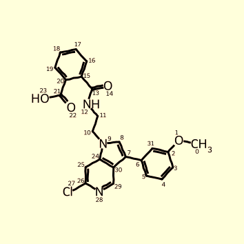 COc1cccc(-c2cn(CCNC(=O)c3ccccc3C(=O)O)c3cc(Cl)ncc23)c1